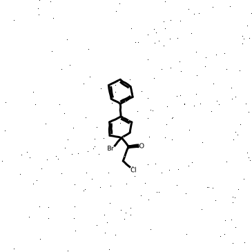 O=C(CCl)C1(Br)C=CC(c2ccccc2)=CC1